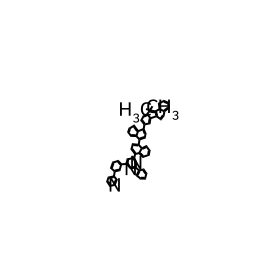 CC1(C)c2ccc(-c3ccc(-c4ccc(-c5cc(-c6cccc(-c7cccnc7)c6)nc(-c6ccccc6)n5)c5ccccc45)c4ccccc34)cc2-c2ccc3ccccc3c21